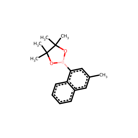 Cc1cc(B2OC(C)(C)C(C)(C)O2)c2ccccc2c1